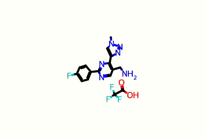 Cn1cc(-c2nc(-c3ccc(F)cc3)ncc2CN)nn1.O=C(O)C(F)(F)F